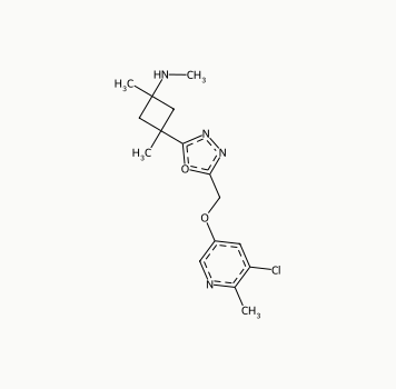 CNC1(C)CC(C)(c2nnc(COc3cnc(C)c(Cl)c3)o2)C1